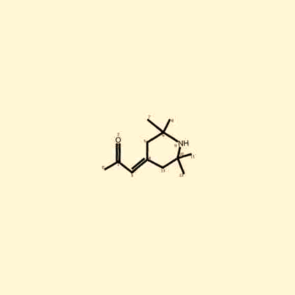 CC(=O)C=C1CC(C)(C)NC(C)(C)C1